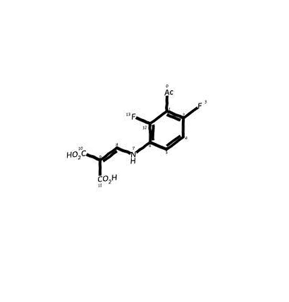 CC(=O)c1c(F)ccc(NC=C(C(=O)O)C(=O)O)c1F